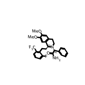 COc1cc2c(cc1OC)[C@H](CCc1c(F)cccc1C(F)(F)F)N([C@@H](C(N)=O)c1ccccc1)CC2